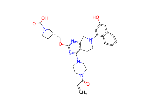 C=CC(=O)N1CCN(c2nc(OC[C@@H]3CCN(C(=O)O)C3)nc3c2CCN(c2cc(O)cc4ccccc24)C3)CC1